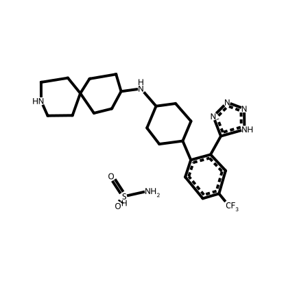 FC(F)(F)c1ccc(C2CCC(NC3CCC4(CCNCC4)CC3)CC2)c(-c2nnn[nH]2)c1.N[SH](=O)=O